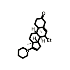 CCC1C=C2CC(=O)CC[C@]2(C)[C@H]2CC[C@]3(C)C(N4CCCCC4)=CC[C@H]3[C@H]12